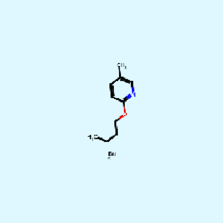 CC[C@H](C)C(C)CCOc1ccc(C)cn1